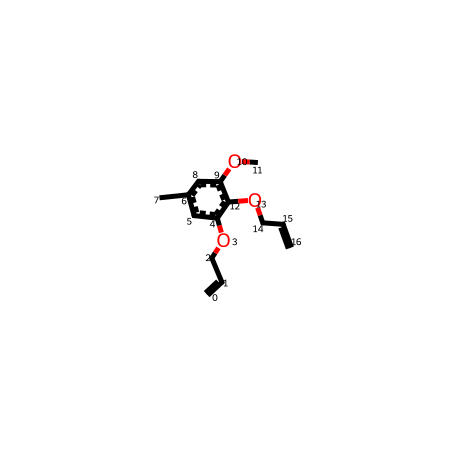 C=CCOc1cc(C)cc(OC)c1OCC=C